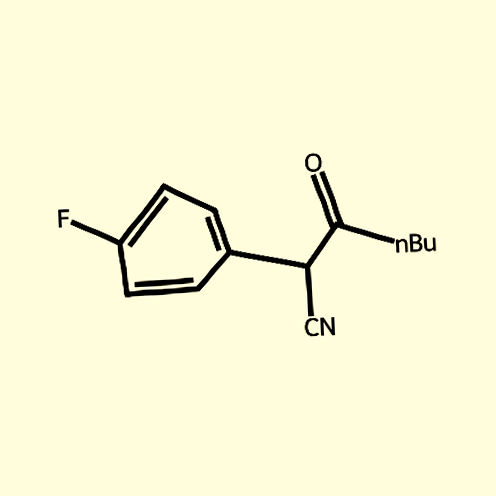 CCCCC(=O)C(C#N)c1ccc(F)cc1